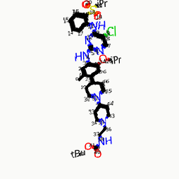 Cc1cc(Nc2ncc(Cl)c(Nc3ccccc3S(=O)(=O)C(C)C)n2)c(OC(C)C)cc1C1CCN(C2CCN(CCNC(=O)OC(C)(C)C)CC2)CC1